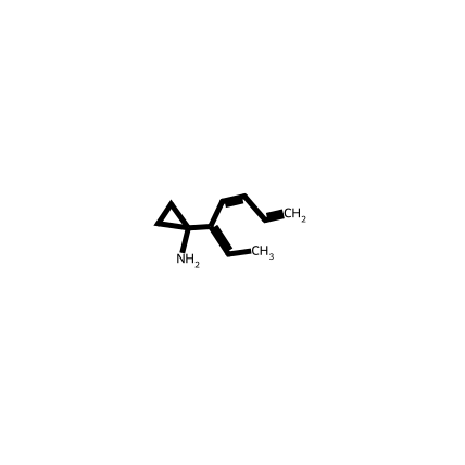 C=C/C=C\C(=C/C)C1(N)CC1